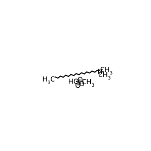 CCCCCCCCCCCCCCCCCCN(C)C.COS(=O)(=O)O